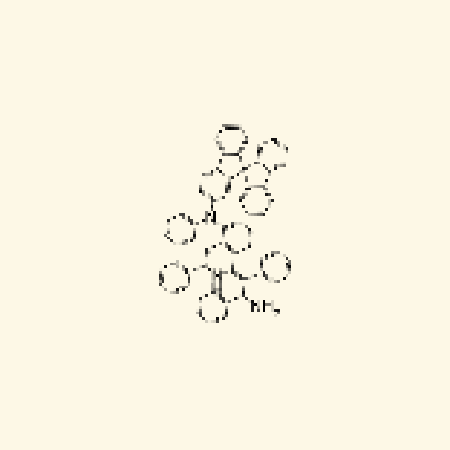 NC(/C(=C1\NC(c2ccccc2)=Cc2c1cccc2N(c1ccccc1)c1ccc2c(c1)C1(c3ccccc3-c3ccccc31)c1ccccc1-2)c1ccccc1)c1ccccc1